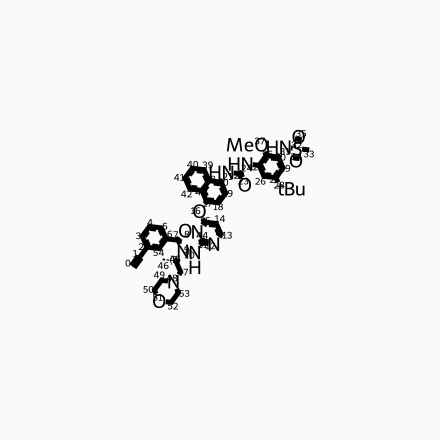 C#Cc1cccc(C(=O)N(Nc2nccc(Oc3ccc(NC(=O)Nc4cc(C(C)(C)C)cc(NS(C)(=O)=O)c4OC)c4ccccc34)n2)[C@@H](C)CN2CCOCC2)c1